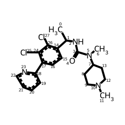 CC(NC(=O)N(C)C1CCN(C)CC1)c1ccc(-c2ccccn2)c(Cl)c1Cl